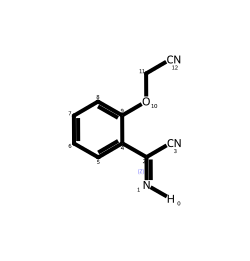 [H]/N=C(\C#N)c1ccccc1OCC#N